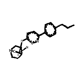 CCCc1ccc(-c2ccc(O[C@H]3CN4CCC3CC4)nn2)cc1